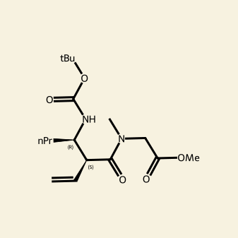 C=C[C@H](C(=O)N(C)CC(=O)OC)[C@@H](CCC)NC(=O)OC(C)(C)C